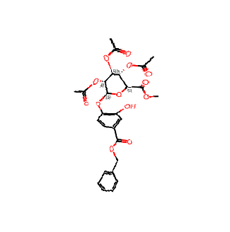 COC(=O)[C@H]1O[C@@H](Oc2ccc(C(=O)OCc3ccccc3)cc2O)[C@H](OC(C)=O)[C@@H](OC(C)=O)[C@@H]1OC(C)=O